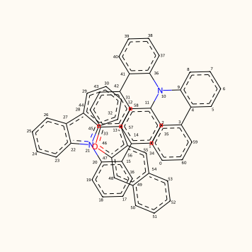 c1ccc(-c2ccccc2N(c2ccc(-c3ccccc3-n3c4ccccc4c4ccccc43)cc2)c2ccccc2-c2ccc3oc4cc5ccccc5cc4c3c2)cc1